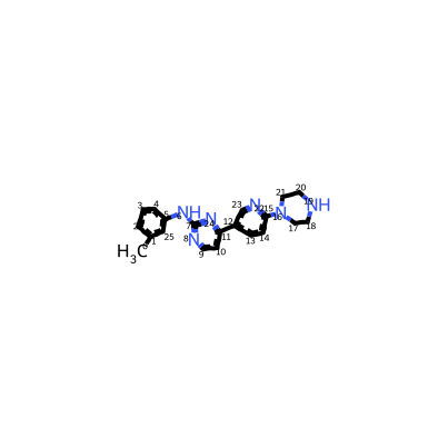 Cc1cccc(Nc2nccc(-c3ccc(N4CCNCC4)nc3)n2)c1